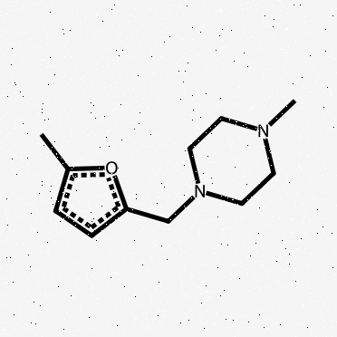 Cc1ccc(CN2CCN(C)CC2)o1